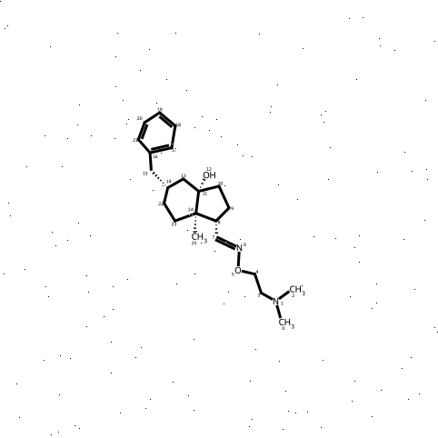 CN(C)CCON=C[C@H]1CC[C@]2(O)C[C@@H](Cc3ccccc3)CC[C@]12C